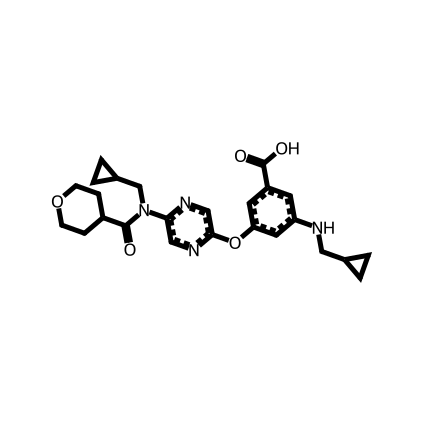 O=C(O)c1cc(NCC2CC2)cc(Oc2cnc(N(CC3CC3)C(=O)C3CCOCC3)cn2)c1